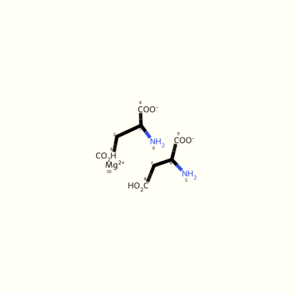 NC(CC(=O)O)C(=O)[O-].NC(CC(=O)O)C(=O)[O-].[Mg+2]